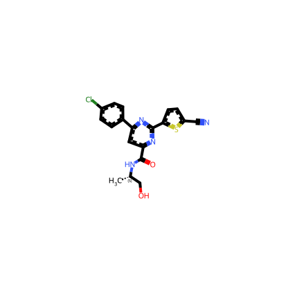 C[C@@H](CO)NC(=O)c1cc(-c2ccc(Cl)cc2)nc(-c2ccc(C#N)s2)n1